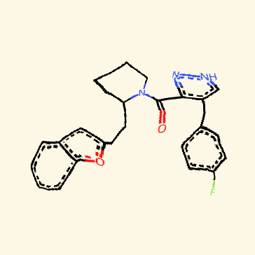 O=C(c1n[nH]cc1-c1ccc(F)cc1)N1CCCCC1Cc1cc2ccccc2o1